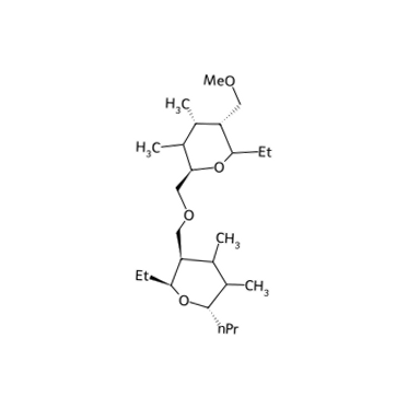 CCC[C@@H]1O[C@@H](CC)[C@@H](COC[C@@H]2OC(CC)[C@@H](COC)[C@@H](C)C2C)C(C)C1C